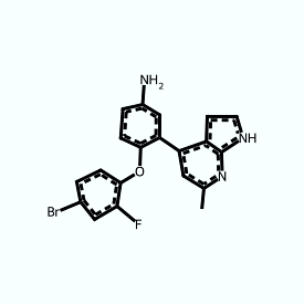 Cc1cc(-c2cc(N)ccc2Oc2ccc(Br)cc2F)c2cc[nH]c2n1